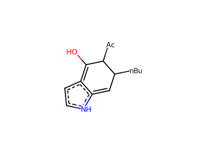 CCCCC1C=c2[nH]ccc2=C(O)C1C(C)=O